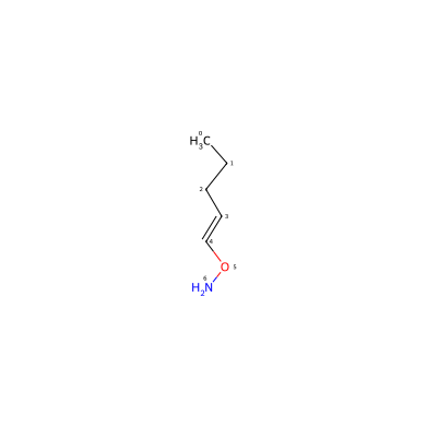 CCCC=CON